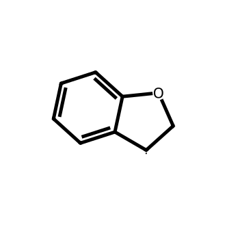 [CH]1COc2ccccc21